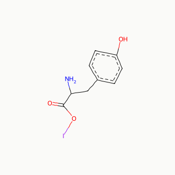 NC(Cc1ccc(O)cc1)C(=O)OI